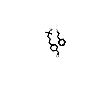 CC(C)(O)CCCC1=CCC(C=O)CC1.O=CCc1ccccc1